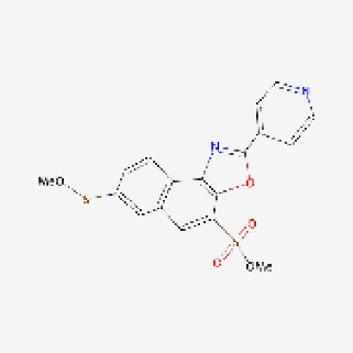 COSc1ccc2c(c1)cc(S(=O)(=O)OC)c1oc(-c3ccncc3)nc12